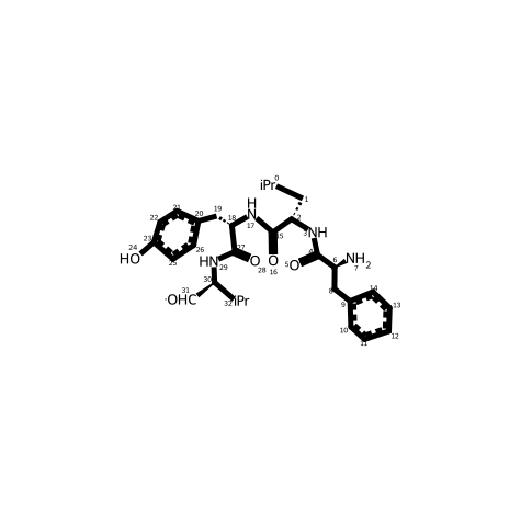 CC(C)C[C@H](NC(=O)[C@@H](N)Cc1ccccc1)C(=O)N[C@@H](Cc1ccc(O)cc1)C(=O)N[C@H]([C]=O)C(C)C